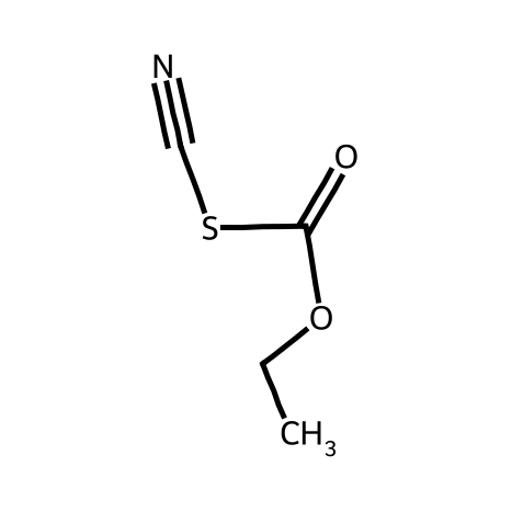 CCOC(=O)SC#N